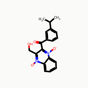 CC(C)c1cccc(C(=O)c2c(CO)[n+]([O-])c3ccccc3[n+]2[O-])c1